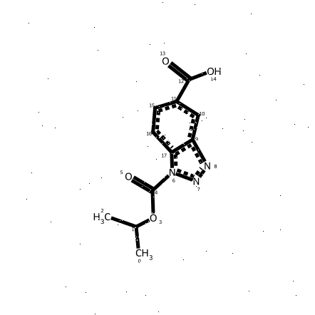 CC(C)OC(=O)n1nnc2cc(C(=O)O)ccc21